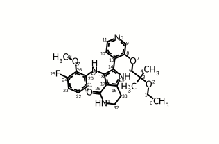 CCOC(C)(C)COc1cnccc1-c1[nH]c2c(c1Nc1cccc(F)c1OC)C(=O)NCC2